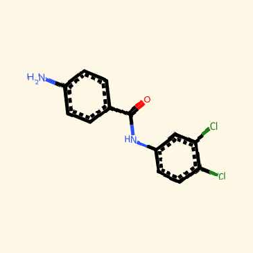 Nc1ccc(C(=O)Nc2ccc(Cl)c(Cl)c2)cc1